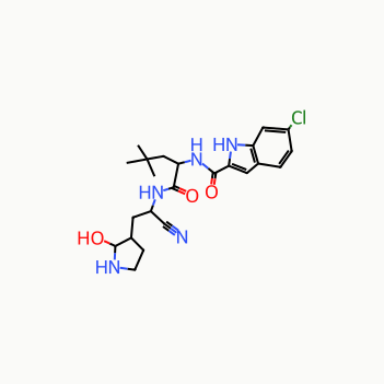 CC(C)(C)CC(NC(=O)c1cc2ccc(Cl)cc2[nH]1)C(=O)NC(C#N)CC1CCNC1O